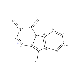 C=Cn1c(/C=C\N=C)c(C)c2cnccc21